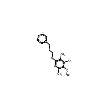 CCCCOc1c(C)nc(OCCCc2ccccc2)c(C)c1C